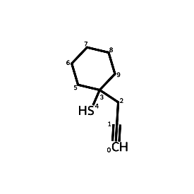 C#CCC1(S)CCCCC1